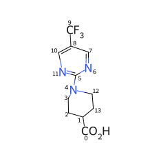 O=C(O)C1CCN(c2ncc(C(F)(F)F)cn2)CC1